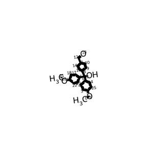 COc1ccc(C(O)(c2ccc(C=O)cc2)c2ccc(OC)cc2)cc1